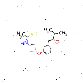 CC(S)N[C@H]1C[C@H](Oc2cccc(CC(=O)C(C)C)c2)C1